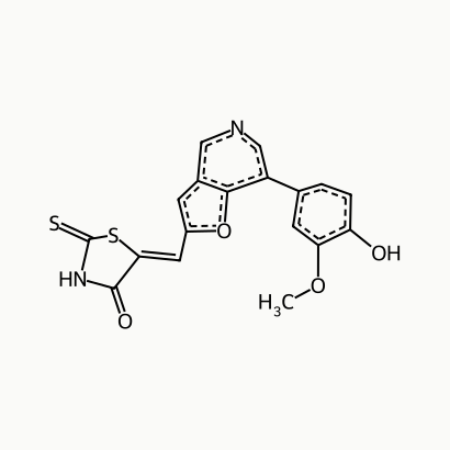 COc1cc(-c2cncc3cc(/C=C4\SC(=S)NC4=O)oc23)ccc1O